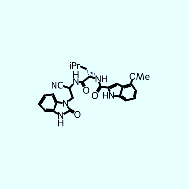 COc1cccc2[nH]c(C(=O)N[C@@H](CC(C)C)C(=O)NC(C#N)Cn3c(=O)[nH]c4ccccc43)cc12